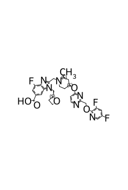 C[C@H]1C[C@@H](Oc2ccnc(COc3ncc(F)cc3F)n2)CCN1Cc1nc2c(F)cc(C(=O)O)cc2n1C[C@@H]1CCO1